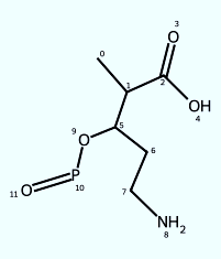 CC(C(=O)O)C(CCN)OP=O